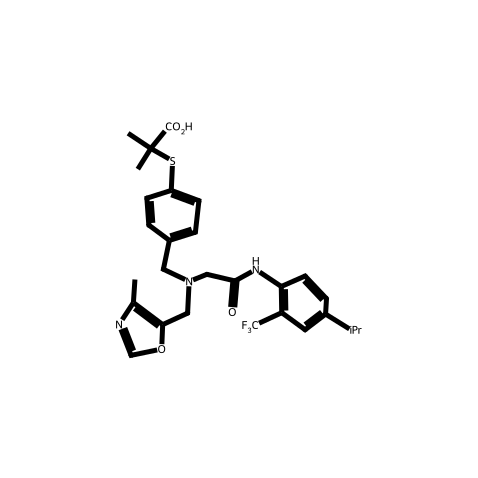 Cc1ncoc1CN(CC(=O)Nc1ccc(C(C)C)cc1C(F)(F)F)Cc1ccc(SC(C)(C)C(=O)O)cc1